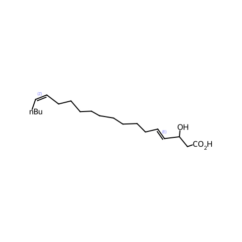 CCCC/C=C\CCCCCCCCC/C=C/C(O)CC(=O)O